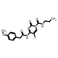 CCCNC(=O)n1cc(F)c(NC(=O)Cc2ccc(OC)cc2)nc1=O